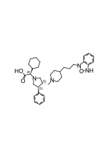 O=C(O)[C@@H](C1CCCCC1)N1C[C@H](CN2CCC(CCCN3ONc4ccccc43)CC2)[C@@H](c2ccccc2)C1